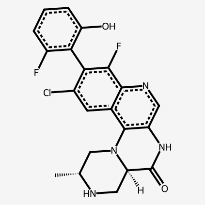 C[C@@H]1CN2c3c(cnc4c(F)c(-c5c(O)cccc5F)c(Cl)cc34)NC(=O)[C@H]2CN1